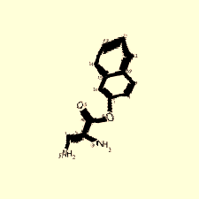 NC=C(N)C(=O)Oc1ccc2ccccc2c1